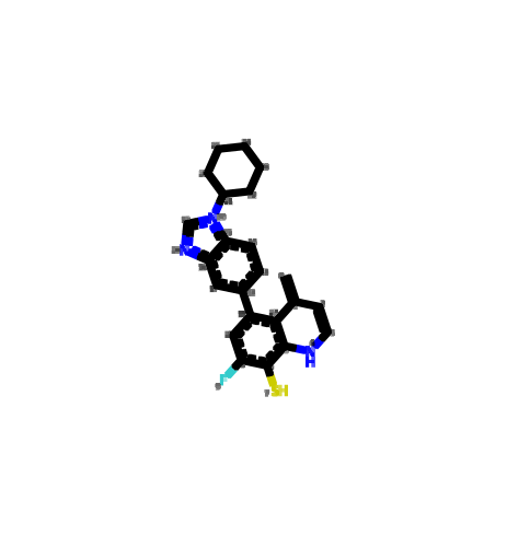 C=C1C=CNc2c(S)c(F)cc(-c3ccc4c(c3)ncn4C3CCCCC3)c21